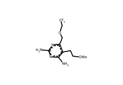 COCCc1c(N)nc(N)nc1COCC(F)(F)F